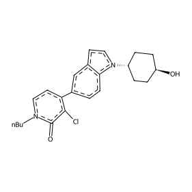 CCCCn1ccc(-c2ccc3c(ccn3[C@H]3CC[C@H](O)CC3)c2)c(Cl)c1=O